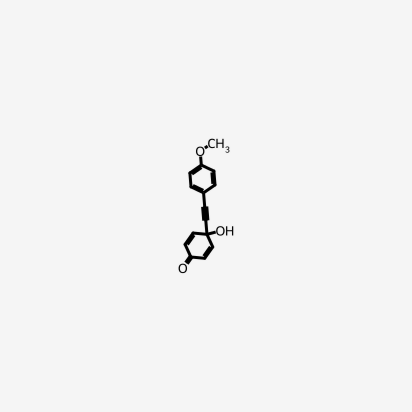 COc1ccc(C#CC2(O)C=CC(=O)C=C2)cc1